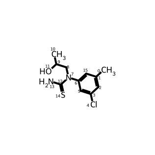 Cc1cc(Cl)cc(N(CC(C)O)C(N)=S)c1